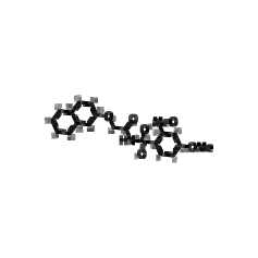 COc1ccc(S(=O)(=O)NC(=O)COc2ccc3ccccc3c2)c(OC)c1